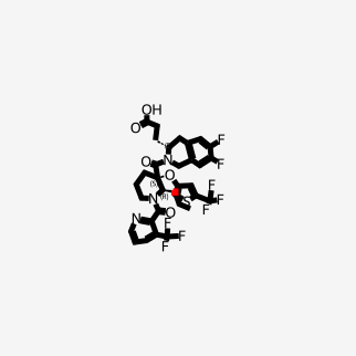 CCC[C@H]1N(C(=O)c2ncccc2C(F)(F)F)CCC[C@@]1(Oc1csc(C(F)(F)F)c1)C(=O)N1Cc2cc(F)c(F)cc2C[C@H]1CCC(=O)O